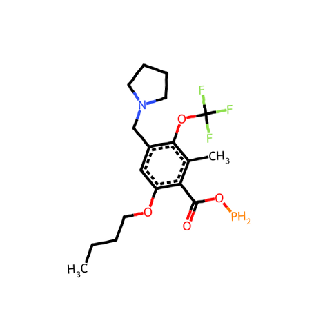 CCCCOc1cc(CN2CCCC2)c(OC(F)(F)F)c(C)c1C(=O)OP